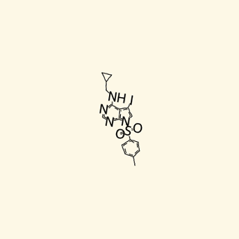 Cc1ccc(S(=O)(=O)n2cc(I)c3c(NCC4CC4)ncnc32)cc1